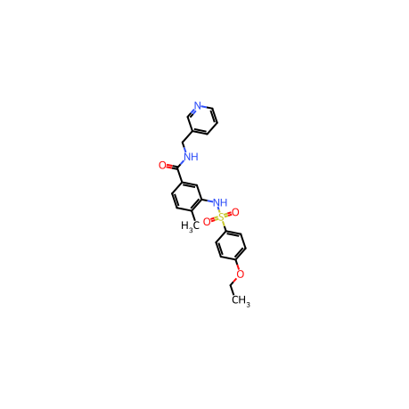 CCOc1ccc(S(=O)(=O)Nc2cc(C(=O)NCc3cccnc3)ccc2C)cc1